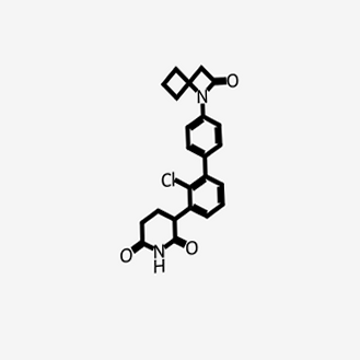 O=C1CCC(c2cccc(-c3ccc(N4C(=O)CC45CCC5)cc3)c2Cl)C(=O)N1